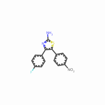 Nc1nc(-c2ccc(F)cc2)c(-c2ccc([N+](=O)[O-])cc2)s1